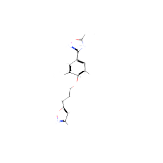 Cc1cc(CCCOc2c(C)cc(C3=NOC(S(=O)(=O)O)N3)cc2C)on1